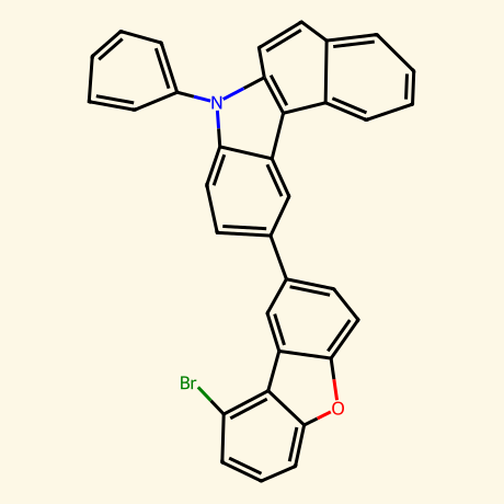 Brc1cccc2oc3ccc(-c4ccc5c(c4)c4c6ccccc6ccc4n5-c4ccccc4)cc3c12